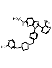 N#Cc1nccc(NC2CCN(Cc3ccc(-n4c(-c5cccnc5N)nc5ccc(NC(=O)O)nc54)cc3)CC2)n1